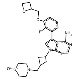 Nc1ncnc2c1c(-c1cccc(OCC3CCO3)c1F)cn2C1CC(CN2CC[S+]([O-])CC2)C1